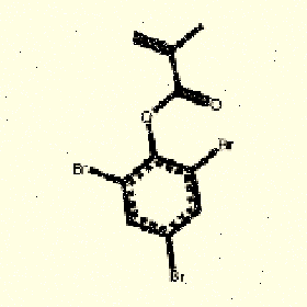 C=C(C)C(=O)Oc1c(Br)cc(Br)cc1Br